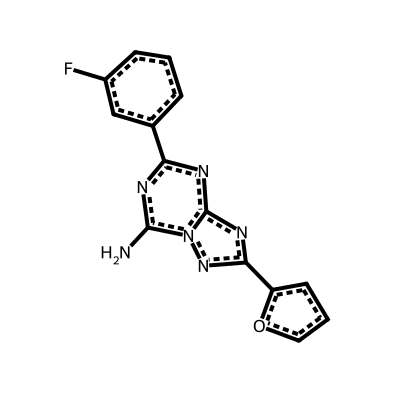 Nc1nc(-c2cccc(F)c2)nc2nc(-c3ccco3)nn12